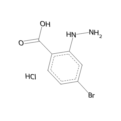 Cl.NNc1cc(Br)ccc1C(=O)O